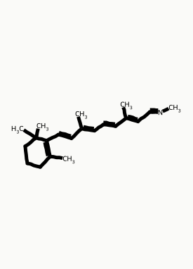 C/N=C/C=C(C)/C=C/C=C(C)/C=C/C1=C(C)CCCC1(C)C